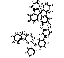 C1=CC(N(c2ccccc2)c2cccc(-c3ccc4c(c3)Oc3cc5c(cc3O4)-c3ccccc3C53c4ccccc4-c4ccccc43)c2)Cc2c1oc1ccccc21